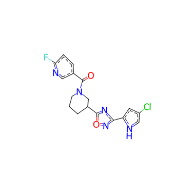 O=C(c1ccc(F)nc1)N1CCCC(c2nc(-c3cc(Cl)c[nH]3)no2)C1